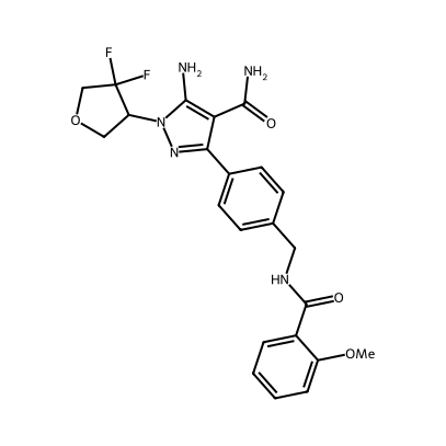 COc1ccccc1C(=O)NCc1ccc(-c2nn(C3COCC3(F)F)c(N)c2C(N)=O)cc1